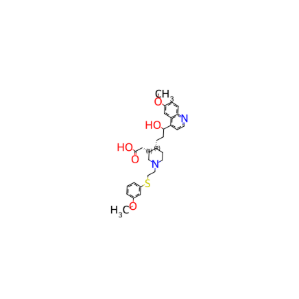 COc1cccc(SCCN2CC[C@@H](CCC(O)c3ccnc4ccc(OC)cc34)[C@@H](CC(=O)O)C2)c1